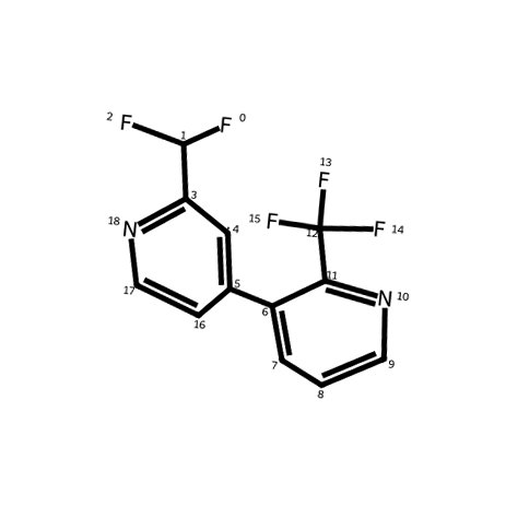 FC(F)c1[c]c(-c2cccnc2C(F)(F)F)ccn1